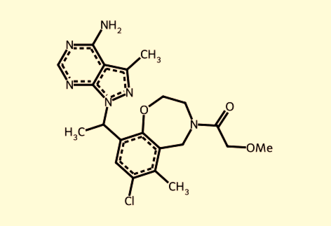 COCC(=O)N1CCOc2c(C(C)n3nc(C)c4c(N)ncnc43)cc(Cl)c(C)c2C1